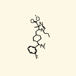 CCCN1C=NC(C)(C(=O)OC)C1CC1CCC(C(c2cccc(F)c2)N(C)C)CC1